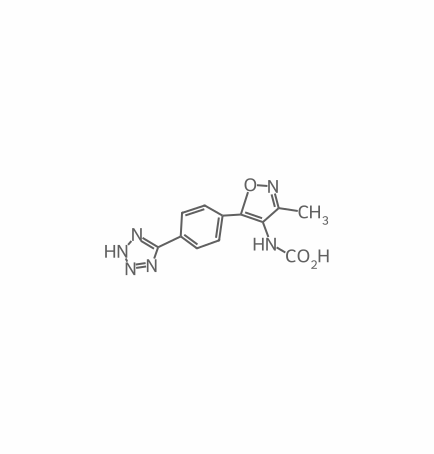 Cc1noc(-c2ccc(-c3nn[nH]n3)cc2)c1NC(=O)O